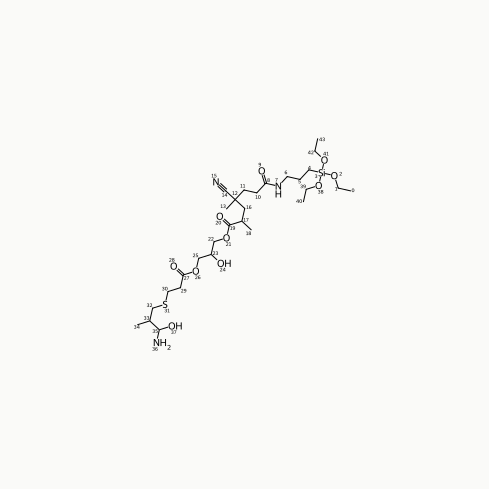 CCO[Si](CCCNC(=O)CCC(C)(C#N)CC(C)C(=O)OCC(O)COC(=O)CCSCC(C)C(N)O)(OCC)OCC